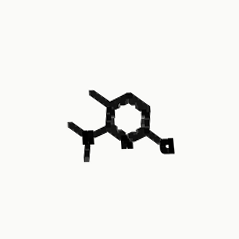 Cc1ccc(Cl)nc1N(C)C